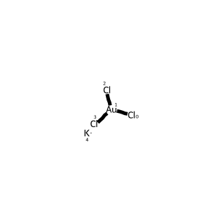 [Cl][Au]([Cl])[Cl].[K]